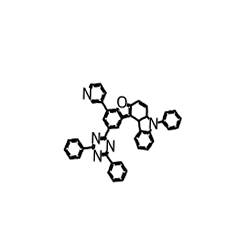 C1=CC2C(c3ccccc3N2c2ccccc2)c2c1oc1c(-c3cccnc3)cc(-c3nc(-c4ccccc4)nc(-c4ccccc4)n3)cc21